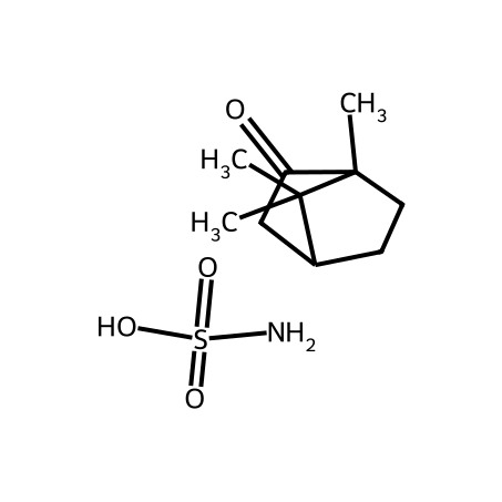 CC12CCC(CC1=O)C2(C)C.NS(=O)(=O)O